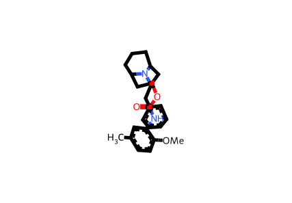 COc1ccc(C)cc1NC(=O)OC1CC2CCCC(C1)N2CCc1ccccc1